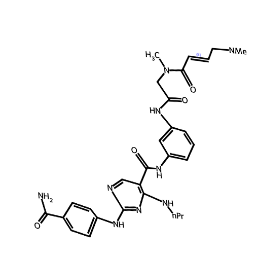 CCCNc1nc(Nc2ccc(C(N)=O)cc2)ncc1C(=O)Nc1cccc(NC(=O)CN(C)C(=O)/C=C/CNC)c1